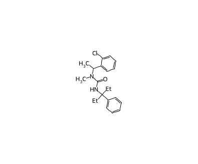 CCC(CC)(NC(=O)N(C)C(C)c1ccccc1Cl)c1ccccc1